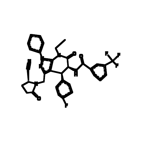 CCN1C(=O)[C@@H](NC(=O)c2cccc(C(F)(F)F)c2)[C@@H](c2ccc(F)cc2)c2c(CN3C(=O)CC[C@H]3C#N)nn(-c3ccccc3)c21